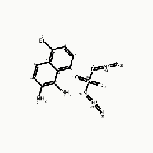 CCc1cccc2c(N)c(N)ccc12.[N-]=[N+]=NS(=O)(=O)N=[N+]=[N-]